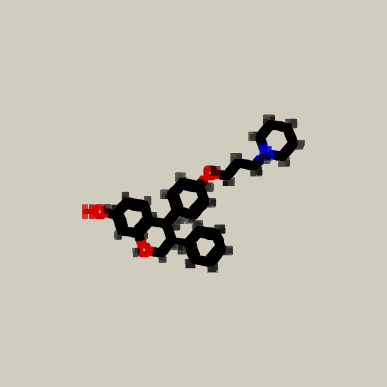 Oc1ccc2c(c1)OC[C@H](c1ccccc1)C2c1ccc(OCCCN2CCCCC2)cc1